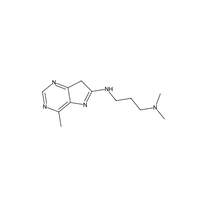 Cc1ncnc2c1N=C(NCCCN(C)C)C2